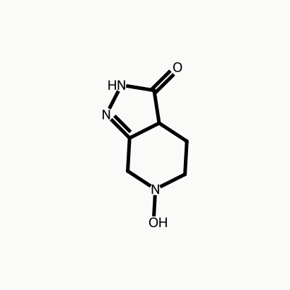 O=C1NN=C2CN(O)CCC12